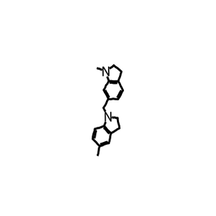 Cc1ccc2c(c1)CCN2Cc1ccc2c(c1)N(C)CC2